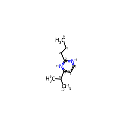 CCCc1nccc(C(C)C)n1